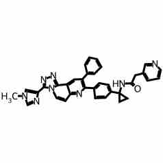 Cn1cnc(-c2nnc3c4cc(-c5ccccc5)c(-c5ccc(C6(NC(=O)Cc7cccnc7)CC6)cc5)nc4ccn23)c1